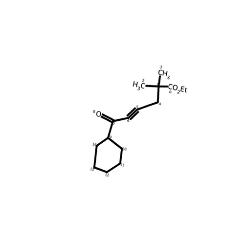 CCOC(=O)C(C)(C)CC#CC(=O)C1CCCCC1